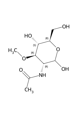 CO[C@H]1[C@H](O)[C@@H](CO)OC(O)[C@@H]1NC(C)=O